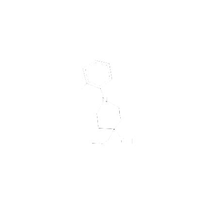 COC1(O)CCN(c2ccccc2F)CC1